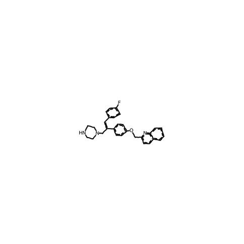 Fc1ccc(/C=C(/CN2CCNCC2)c2ccc(OCc3ccc4ccccc4n3)cc2)cc1